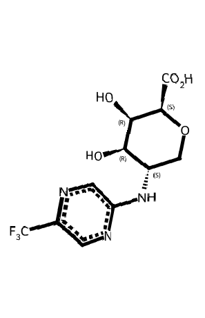 O=C(O)[C@H]1OC[C@H](Nc2cnc(C(F)(F)F)cn2)[C@@H](O)[C@H]1O